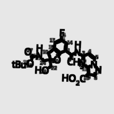 CC(Nc1ccn2ncc(C(=O)O)c2n1)c1cc(F)cc2c1OC(CO)(CNC(=O)OC(C)(C)C)C2